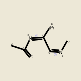 C=C(C)/N=C(\C=N/C)C(C)C